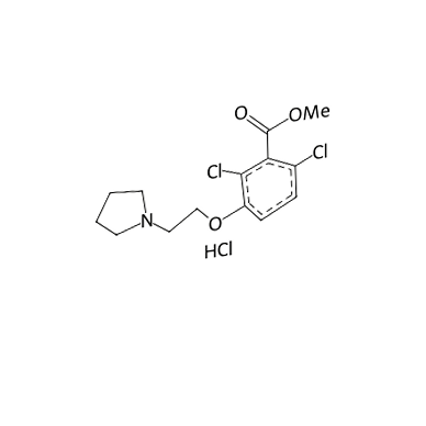 COC(=O)c1c(Cl)ccc(OCCN2CCCC2)c1Cl.Cl